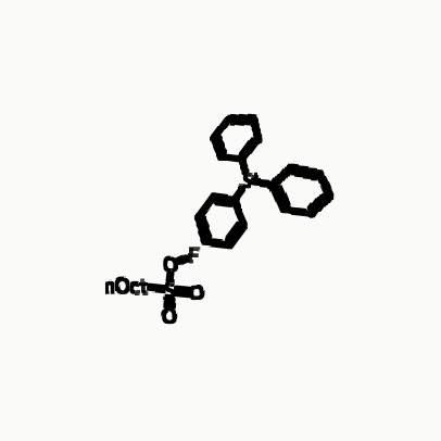 CCCCCCCCS(=O)(=O)OF.c1ccc([S+](c2ccccc2)c2ccccc2)cc1